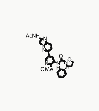 COc1ncc(-c2ccc3nc(NC(C)=O)cn3n2)cc1NC(=O)N1OCC[C@H]1c1ccccc1